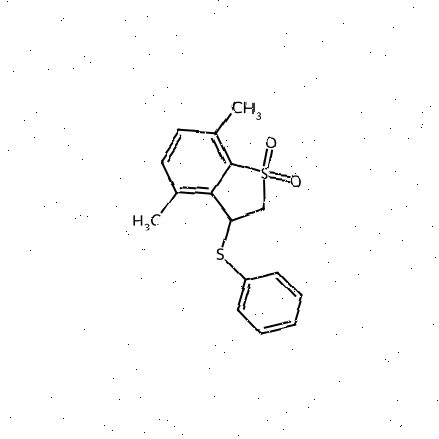 Cc1ccc(C)c2c1C(Sc1ccccc1)CS2(=O)=O